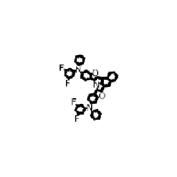 Fc1cc(F)cc(N(c2ccccc2)c2ccc3c(c2)oc2c4cc5ccccc5c5c6oc7cc(N(c8ccccc8)c8cc(F)cc(F)c8)ccc7c6n(c32)c45)c1